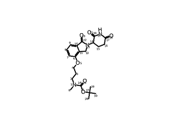 CN(CCCOc1cccc2c1CN(C1CCC(=O)NC1=O)C2=O)C(=O)OC(C)(C)C